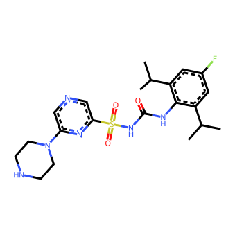 CC(C)c1cc(F)cc(C(C)C)c1NC(=O)NS(=O)(=O)c1cncc(N2CCNCC2)n1